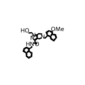 COc1ccc(CN2CCc3c(c(C(=O)NCc4cccc5ccccc45)nn3CCO)C2)c2ccccc12